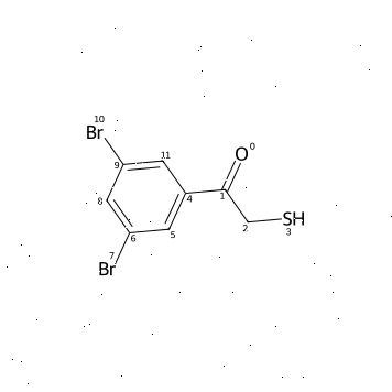 O=C(CS)c1cc(Br)cc(Br)c1